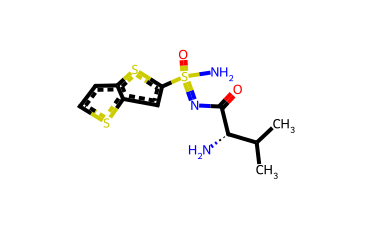 CC(C)[C@H](N)C(=O)N=S(N)(=O)c1cc2sccc2s1